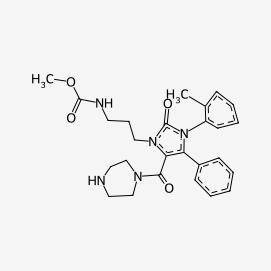 COC(=O)NCCCn1c(C(=O)N2CCNCC2)c(-c2ccccc2)n(-c2ccccc2C)c1=O